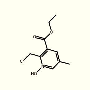 CCOC(=O)c1cc(C)c[n+](O)c1CCl